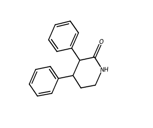 O=C1NCCC(c2ccccc2)C1c1ccccc1